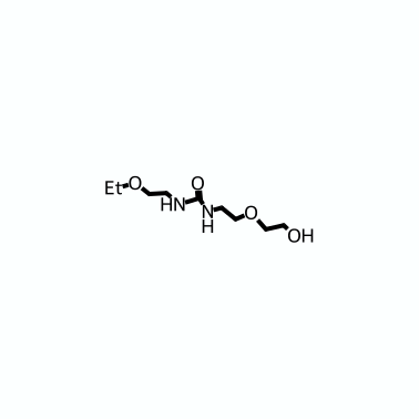 [CH2]COCCNC(=O)NCCOCCO